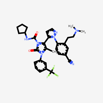 Cc1c(-c2ccnn2-c2ccc(C#N)cc2CCN(C)C)n(C(=O)NC2CCCC2)c(=O)n1-c1cccc(C(F)(F)F)c1